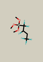 CO[Si](OC)(OC)C(F)(F)C(F)CC(F)(F)F